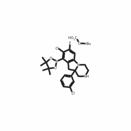 CC(C)(C)OC(=O)O.CC1(C)OB(c2c(Cl)c(F)cc3c2CC2(c4cccc(Cl)c4)CNCCN32)OC1(C)C